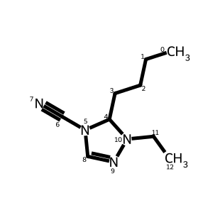 CCCCC1N(C#N)C=NN1CC